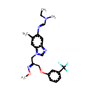 CCN(C)/C=N/c1cc2ncn(C/C(COc3cccc(C(F)(F)F)c3)=N/OC)c2cc1C